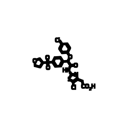 O=C(O)Cc1nc(NC(=O)C(Oc2ccc(Cl)cc2)c2ccc(S(=O)(=O)C3CCOC3)cc2)sc1Cl